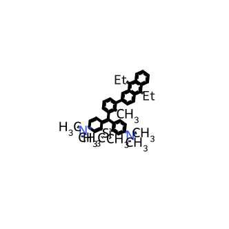 CCc1c2ccccc2c(CC)c2cc(-c3cccc(C4=C5C=CC(=[N+](C)C)C=C5[Si](C)(C)c5cc(N(C)C)ccc54)c3C)ccc12